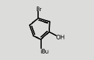 CCC(C)c1ccc(Br)cc1O